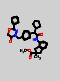 COC(=O)C1(C)Cc2cccc(NC(=O)C(c3ccc(CN4N=C(c5ccccc5)OCC4=O)cc3)C3CCCC3)c2C1